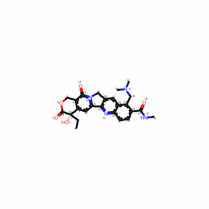 CC[C@@]1(O)C(=O)OCc2c1cc1n(c2=O)Cc2cc3c(CN(C)C)c(C(=O)NC)ccc3nc2-1